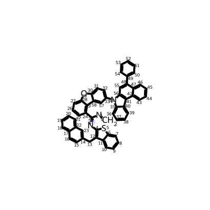 C=N/C(=N\c1sc2ccccc2c1Cc1ccc2ccccc2c1)c1cccc2oc3ccc(-n4c5ccccc5c5c6ccccc6c(-c6ccccc6)cc54)cc3c12